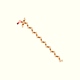 COS(=S)(=S)SSSSSSSSSSSSSSSS